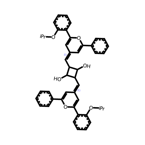 CC(C)Oc1ccccc1C1=C/C(=C/C2C(O)C(/C=C3\C=C(c4ccccc4)OC(c4ccccc4OC(C)C)=C3)C2O)C=C(c2ccccc2)O1